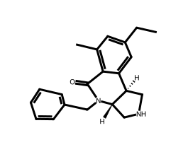 CCc1cc(C)c2c(c1)[C@H]1CNC[C@@H]1N(Cc1ccccc1)C2=O